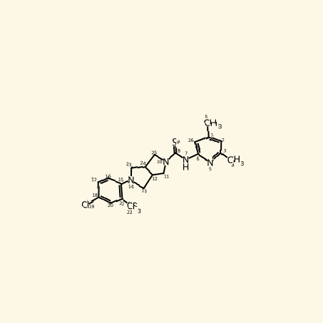 Cc1cc(C)nc(NC(=S)N2CC3CN(c4ccc(Cl)cc4C(F)(F)F)CC3C2)c1